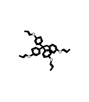 CC=COc1ccc(CC(c2ccc(OC=CC)cc2)(c2ccc(OC=CC)cc2)c2ccc(OC=CC)cc2)cc1